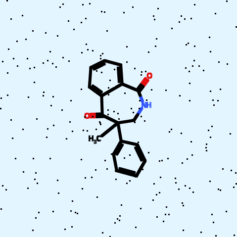 CC1(c2ccccc2)CNC(=O)c2ccccc2C1=O